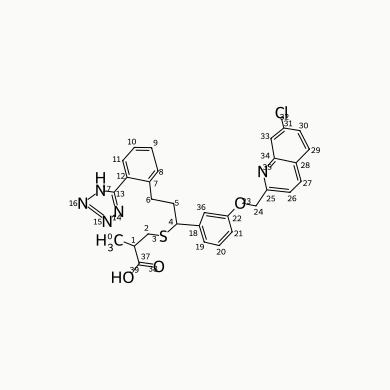 CC(CSC(CCc1ccccc1-c1nnn[nH]1)c1cccc(OCc2ccc3ccc(Cl)cc3n2)c1)C(=O)O